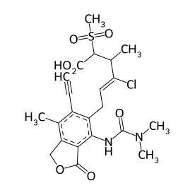 C#Cc1c(C)c2c(c(NC(=O)N(C)C)c1CC=C(Cl)C(C)C(C(=O)O)S(C)(=O)=O)C(=O)OC2